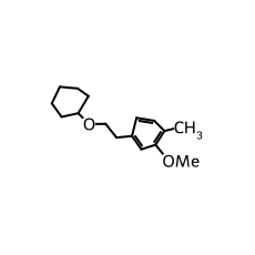 COc1cc(CCOC2CCCCC2)ccc1C